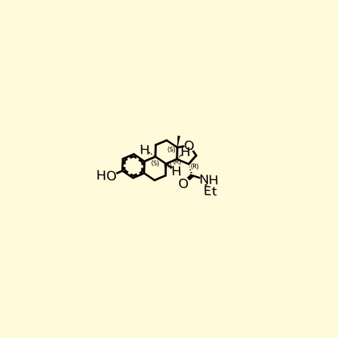 CCNC(=O)[C@H]1CO[C@@]2(C)CC[C@@H]3c4ccc(O)cc4CC[C@H]3[C@H]12